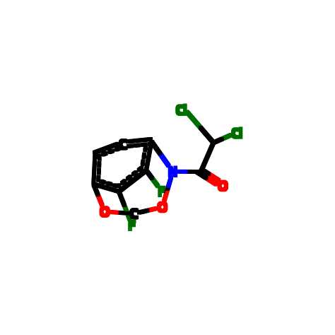 O=C(C(Cl)Cl)N1OCOc2ccc1c(F)c2F